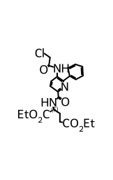 CCOC(=O)CC[C@H](NC(=O)c1ccc(NC(=O)CCl)c(-c2ccccc2)n1)C(=O)OCC